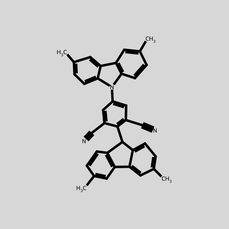 Cc1ccc2c(c1)-c1cc(C)ccc1C2c1c(C#N)cc(-n2c3ccc(C)cc3c3cc(C)ccc32)cc1C#N